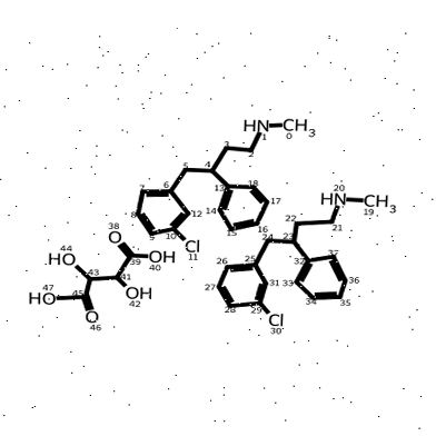 CNCCC(Cc1cccc(Cl)c1)c1ccccc1.CNCCC(Cc1cccc(Cl)c1)c1ccccc1.O=C(O)C(O)C(O)C(=O)O